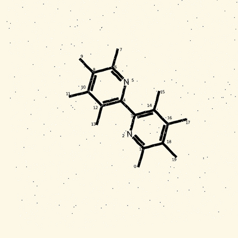 Cc1nc(-c2nc(C)c(C)c(C)c2C)c(C)c(C)c1C